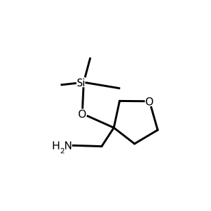 C[Si](C)(C)OC1(CN)CCOC1